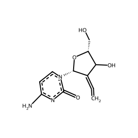 C=C=C1C(O)[C@@H](CO)O[C@H]1n1ccc(N)nc1=O